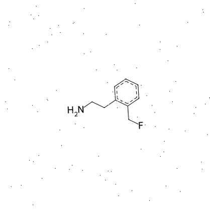 NCCc1ccccc1CF